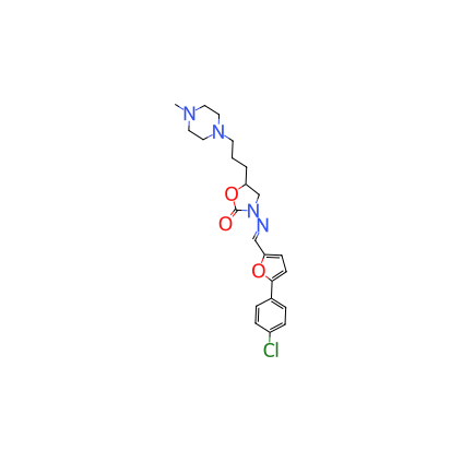 CN1CCN(CCCC2CN(/N=C/c3ccc(-c4ccc(Cl)cc4)o3)C(=O)O2)CC1